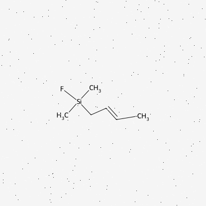 C/C=C/C[Si](C)(C)F